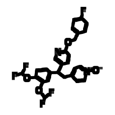 [O-][n+]1ccc(CC(c2ccc(OCc3ccc(F)cc3)nc2)c2ccc(OC(F)F)c(OC(F)F)c2)cc1